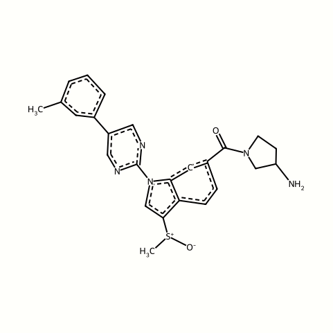 Cc1cccc(-c2cnc(-n3cc([S+](C)[O-])c4ccc(C(=O)N5CCC(N)C5)cc43)nc2)c1